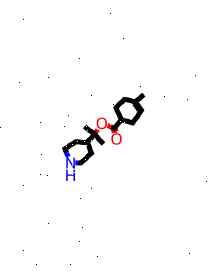 CC1=CCC(C(=O)OC(C)(C)C2CCNCC2)CC1